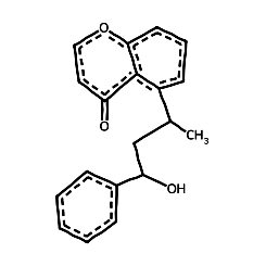 CC(CC(O)c1ccccc1)c1cccc2occc(=O)c12